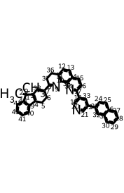 CC1(C)C2=C(CCC(C3=Nc4c(ccc5ccc(-c6cncc(-c7ccc8ccccc8c7)c6)nc45)CC3)=C2)c2ccccc21